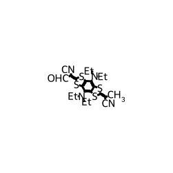 CCN(CC)c1c2c(c(N(CC)CC)c3c1SC(=C(C#N)C=O)S3)SC(=C(C)C#N)S2